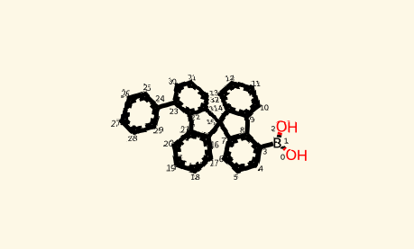 OB(O)c1cccc2c1-c1ccccc1C21c2ccccc2-c2c(-c3ccccc3)cccc21